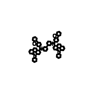 c1ccc(-n2c3cccc4ccc5c(N(c6cccc(-c7cccc(N(c8ccc9c(c8)oc8ccccc89)c8ccc9c%10c8ccc8cccc(c8%10)n9-c8ccccc8)c7)c6)c6ccc7c(c6)oc6ccccc67)ccc2c5c43)cc1